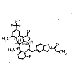 C=CC(=O)N1Cc2ccc(CN3C[C@H]4CC(=O)N(c5cc(C(F)(F)F)cc(C)n5)[C@@H]4C(=O)N(C)c4cccc(F)c43)cc2C1